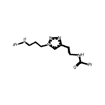 CC(C)NCCCn1cc(CCNC(=O)C(C)C)nn1